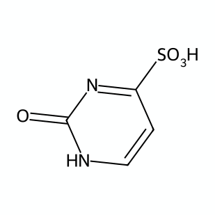 O=c1nc(S(=O)(=O)O)cc[nH]1